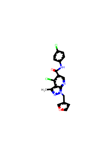 Cc1nn(Cc2ccoc2)c2ncc(C(=O)Nc3ccc(Cl)cc3)c(Cl)c12